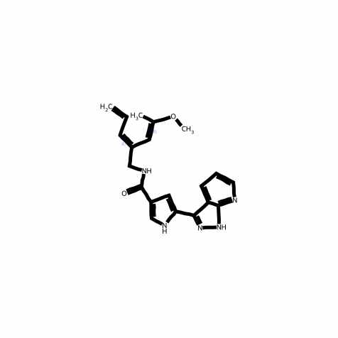 C=C/C=C(\C=C(/C)OC)CNC(=O)c1c[nH]c(-c2n[nH]c3ncccc23)c1